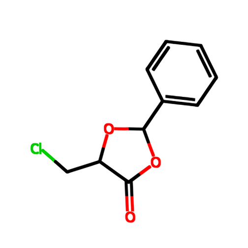 O=C1OC(c2ccccc2)OC1CCl